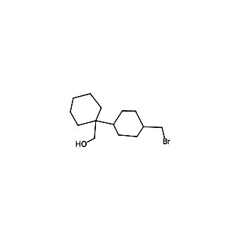 OCC1(C2CCC(CBr)CC2)CCCCC1